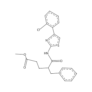 COC(=O)CCC(Cc1ccccc1)C(=O)Nc1nc(-c2ccccc2Cl)cs1